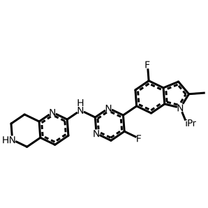 Cc1cc2c(F)cc(-c3nc(Nc4ccc5c(n4)CCNC5)ncc3F)cc2n1C(C)C